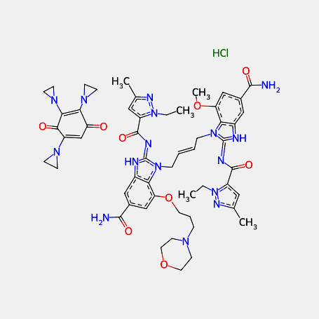 CCn1nc(C)cc1C(=O)/N=c1\[nH]c2cc(C(N)=O)cc(OC)c2n1C/C=C/Cn1/c(=N/C(=O)c2cc(C)nn2CC)[nH]c2cc(C(N)=O)cc(OCCCN3CCOCC3)c21.Cl.O=C1C=C(N2CC2)C(=O)C(N2CC2)=C1N1CC1